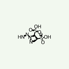 N=Nn1ncc(S(=O)(=O)O)c1S(=O)(=O)O